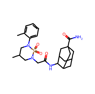 Cc1ccccc1N1CC(C)CN(CC(=O)NC2C3CC4CC2CC(C(N)=O)(C4)C3)S1(=O)=O